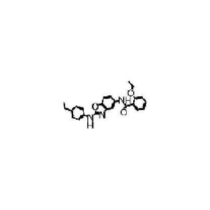 CCOc1ccccc1C(=O)Nc1ccc2oc(Nc3ccc(CC)cc3)nc2c1